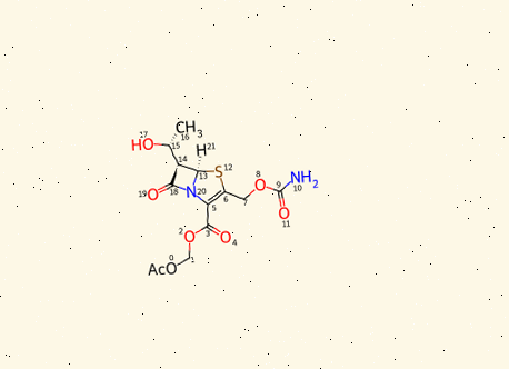 CC(=O)OCOC(=O)C1=C(COC(N)=O)S[C@@H]2[C@H]([C@@H](C)O)C(=O)N12